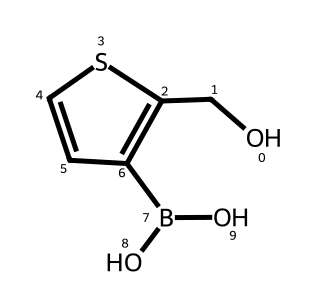 OCc1sccc1B(O)O